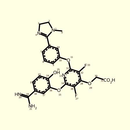 CN1CCN=C1c1cccc(Oc2nc(Oc3cc(C(=N)N)ccc3O)c(F)c(OCC(=O)O)c2F)c1